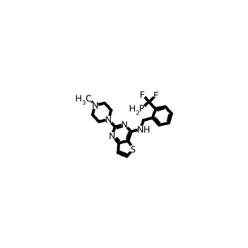 CN1CCN(c2nc(NCc3ccccc3C(F)(F)P)c3sccc3n2)CC1